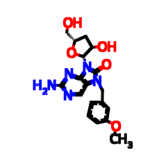 COc1cccc(Cn2c(=O)n([C@@H]3O[C@H](CO)C[C@H]3O)c3nc(N)ncc32)c1